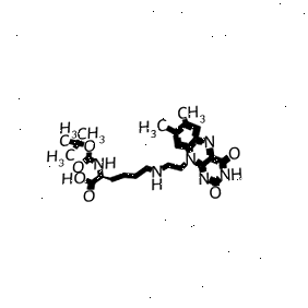 Cc1cc2nc3c(=O)[nH]c(=O)nc-3n(CCNCCCC[C@H](NC(=O)OC(C)(C)C)C(=O)O)c2cc1C